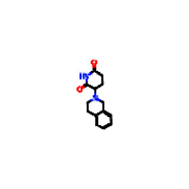 O=C1CCC(N2CCc3ccccc3C2)C(=O)N1